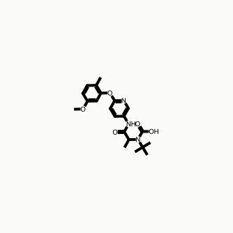 COc1ccc(C)c(Oc2ccc(NC(=O)C(C)N(C(=O)O)C(C)(C)C)cn2)c1